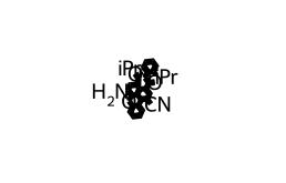 CC(C)c1cccc(C(C)C)c1-n1c(=O)c2cc(N)c3oc4ccccc4c4c(C#N)cc(c1=O)c2c34